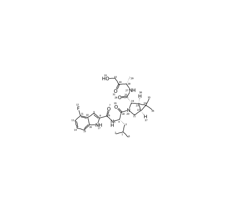 CC(C)C[C@H](NC(=O)c1cc2c(F)cccc2[nH]1)C(=O)N1C[C@H]2[C@@H]([C@H]1C(=O)N[C@@H](C)C(=O)CO)C2(C)C